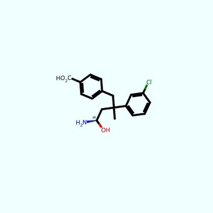 CC(Cc1ccc(C(=O)O)cc1)(C[C@H](N)O)c1cccc(Cl)c1